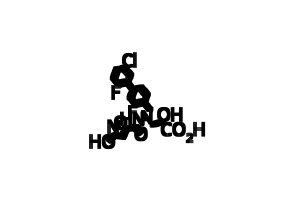 O=C(NN(Cc1ccc(-c2cc(Cl)ccc2F)cc1F)CC(O)C(=O)O)c1cc(O)no1